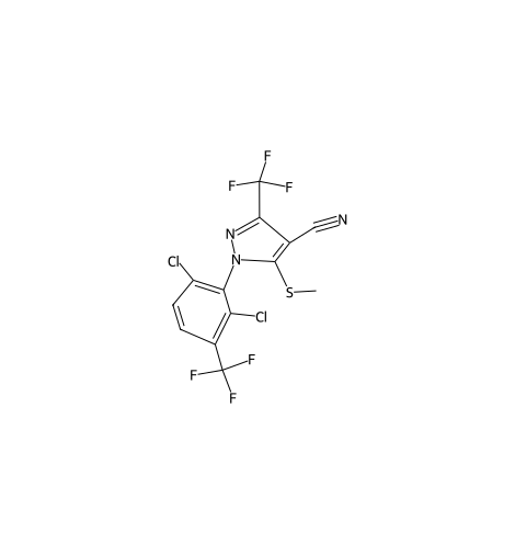 CSc1c(C#N)c(C(F)(F)F)nn1-c1c(Cl)ccc(C(F)(F)F)c1Cl